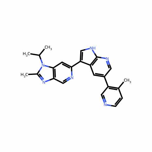 Cc1ccncc1-c1cnc2[nH]cc(-c3cc4c(cn3)nc(C)n4C(C)C)c2c1